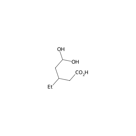 CCC(CC(=O)O)CC(O)O